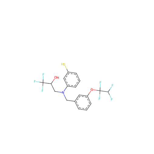 OC(CN(Cc1cccc(OC(F)(F)C(F)F)c1)c1cccc(S)c1)C(F)(F)F